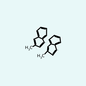 Cc1c[c]c2ccccc2c1.Cc1c[c]c2ccccc2c1